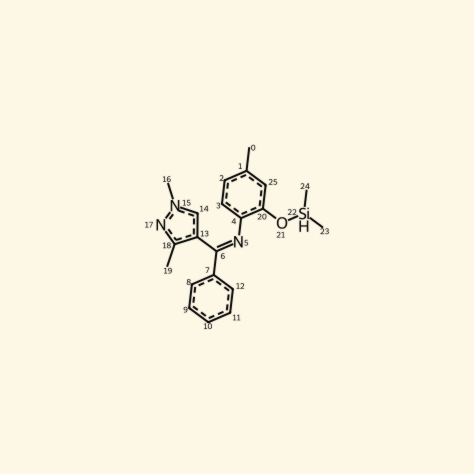 Cc1ccc(N=C(c2ccccc2)c2cn(C)nc2C)c(O[SiH](C)C)c1